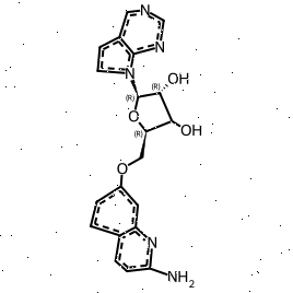 Nc1ccc2ccc(OC[C@H]3O[C@@H](n4ccc5cncnc54)[C@H](O)C3O)cc2n1